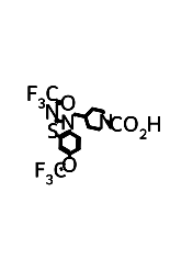 O=C(O)N1CCC(Cn2/c(=N\C(=O)C(F)(F)F)sc3cc(OC(F)(F)F)ccc32)CC1